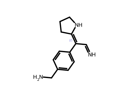 N=C/C(=C1/CCCN1)c1ccc(CN)cc1